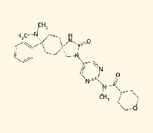 CN(C(=O)C1CCOCC1)c1ncc(N2C[C@]3(CC[C@@](c4ccccc4)(N(C)C)CC3)NC2=O)cn1